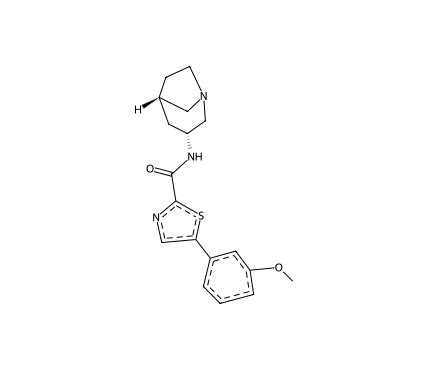 COc1cccc(-c2cnc(C(=O)N[C@@H]3C[C@@H]4CCN(C4)C3)s2)c1